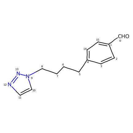 O=Cc1ccc(CCCCn2ccnn2)cc1